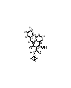 O=C(NC12CC(C1)C2)c1c(O)c2cccnc2n(Cc2ccc(F)cc2)c1=O